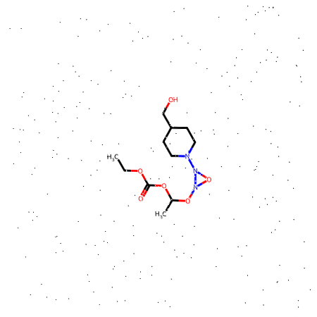 CCOC(=O)OC(C)On1on1N1CCC(CO)CC1